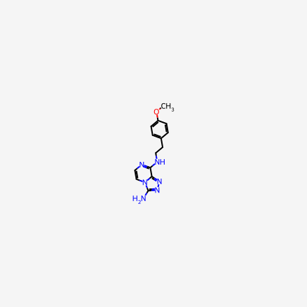 COc1ccc(CCNc2nccn3c(N)nnc23)cc1